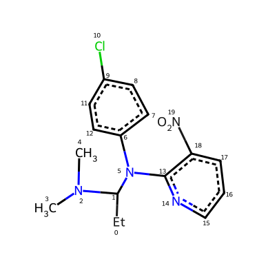 CCC(N(C)C)N(c1ccc(Cl)cc1)c1ncccc1[N+](=O)[O-]